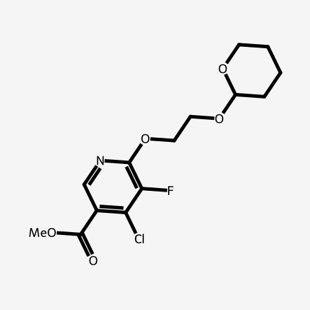 COC(=O)c1cnc(OCCOC2CCCCO2)c(F)c1Cl